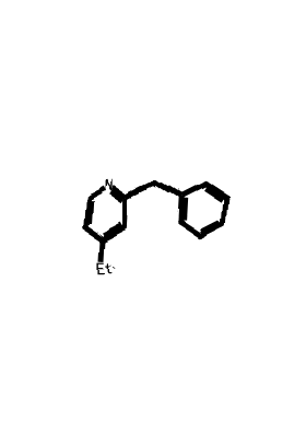 C[CH]c1ccnc(Cc2ccccc2)c1